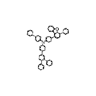 c1ccc(-c2ccc(N(c3ccc(-c4ccc(-c5ccccc5)c(-c5ccccc5)c4)cc3)c3ccc(-c4ccc(-c5ccccc5)c5oc6ccccc6c45)cc3)cc2)cc1